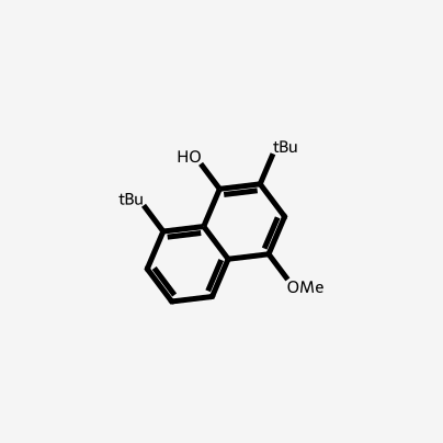 COc1cc(C(C)(C)C)c(O)c2c(C(C)(C)C)cccc12